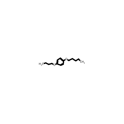 CCCCCOc1ccc(OCCCC)cc1